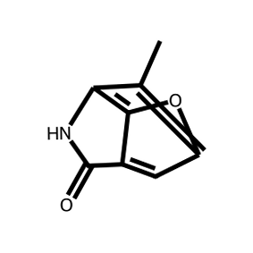 Cc1c2c3oc1cc3C(=O)N2